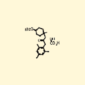 COC1CCC(C)(CC(=O)Cc2c(C)cc(C)cc2C)CC1.O=C(O)O